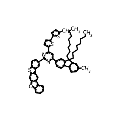 CCCCCCCCC1(CCCCCCCC)c2cc(C)ccc2-c2ccc(-c3cc(-c4ccc(-c5ccc(C)s5)s4)nc(-c4ccc5sc6cc7oc8ccccc8c7cc6c5c4)n3)cc21